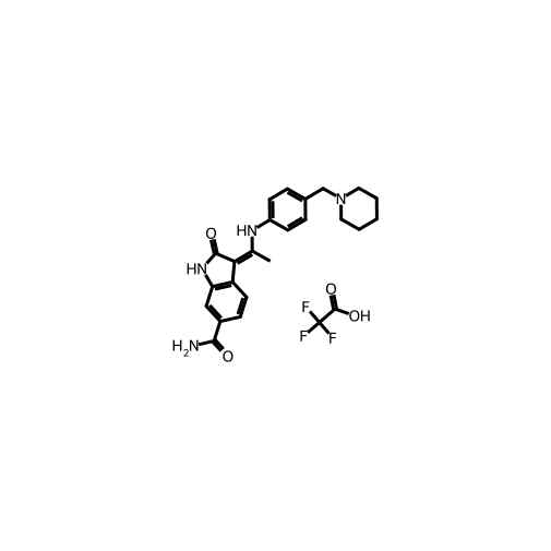 C/C(Nc1ccc(CN2CCCCC2)cc1)=C1/C(=O)Nc2cc(C(N)=O)ccc21.O=C(O)C(F)(F)F